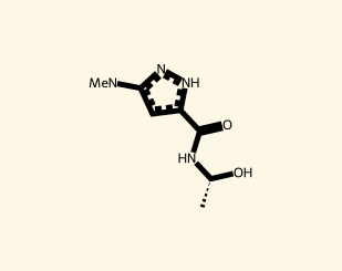 CNc1cc(C(=O)N[C@@H](C)O)[nH]n1